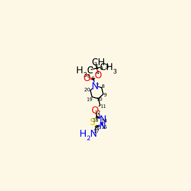 CC(C)(C)OC(=O)N1CCC(COc2nnc(N)s2)CC1